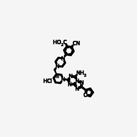 Cl.N#Cc1ccc(N2CCN(C[C@@H]3CCCN(c4nc(N)n5nc(-c6ccco6)nc5n4)C3)CC2)cc1C(=O)O